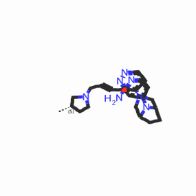 C[C@H]1CCN(CC#Cc2cc(N3C4CCC3CN(c3ccnnc3N)C4)ccn2)C1